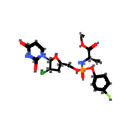 CC(C)OC(=O)[C@H](C)NP(=O)(OC[C@@H]1C[C@H](Cl)[C@H](n2ccc(=O)[nH]c2=O)O1)Oc1ccc(F)cc1